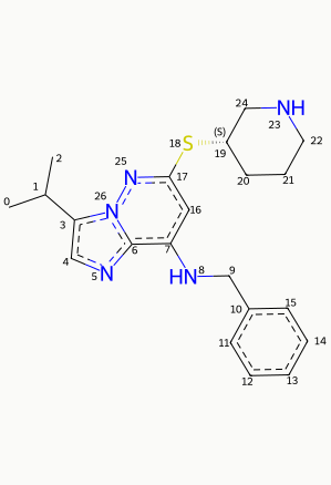 CC(C)c1cnc2c(NCc3ccccc3)cc(S[C@H]3CCCNC3)nn12